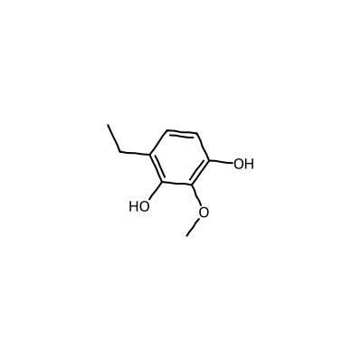 CCc1ccc(O)c(OC)c1O